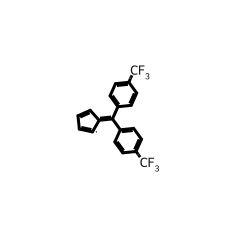 FC(F)(F)c1ccc(C(=C2[C]=CC=C2)c2ccc(C(F)(F)F)cc2)cc1